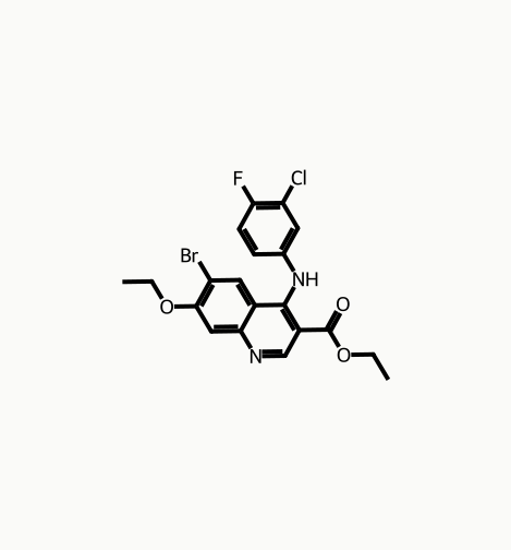 CCOC(=O)c1cnc2cc(OCC)c(Br)cc2c1Nc1ccc(F)c(Cl)c1